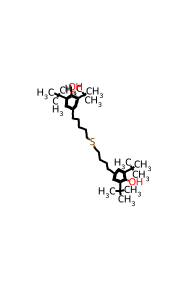 CC(C)(C)c1cc(CCCCCSCCCCCc2cc(C(C)(C)C)c(O)c(C(C)(C)C)c2)cc(C(C)(C)C)c1O